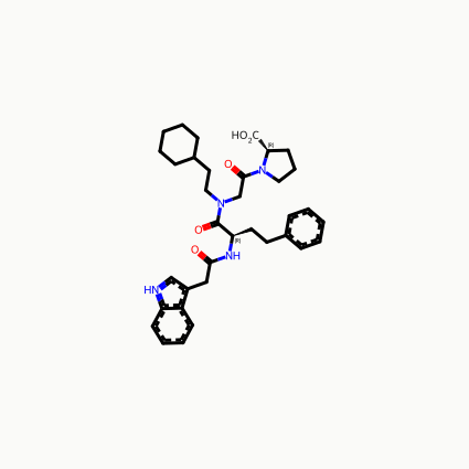 O=C(Cc1c[nH]c2ccccc12)N[C@H](CCc1ccccc1)C(=O)N(CCC1CCCCC1)CC(=O)N1CCC[C@@H]1C(=O)O